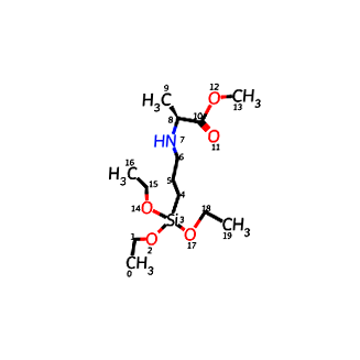 CCO[Si](CCCN[C@@H](C)C(=O)OC)(OCC)OCC